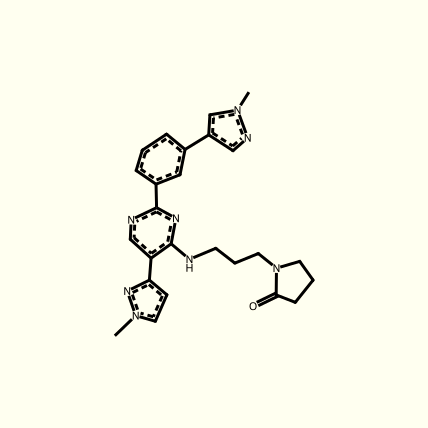 Cn1cc(-c2cccc(-c3ncc(-c4ccn(C)n4)c(NCCCN4CCCC4=O)n3)c2)cn1